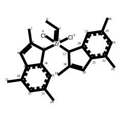 C[CH]=[Zr]([Cl])([Cl])([CH]1C(C)=Cc2c(C)cc(C)cc21)[CH]1C(C)=Cc2c(C)cc(C)cc21